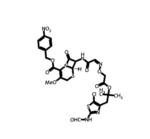 COC1=C(C(=O)OCc2ccc([N+](=O)[O-])cc2)N2C(=O)C(NC(=O)/C=N\OCC(=O)OC(C)(C)Cc3nc(NC=O)sc3Cl)[C@H]2SC1